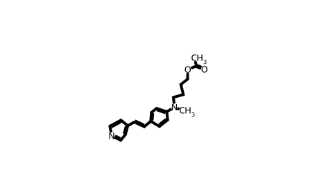 CC(=O)OCCCCN(C)c1ccc(C=Cc2ccncc2)cc1